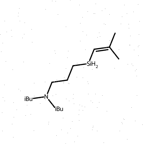 CCC(C)N(CCC[SiH2]C=C(C)C)C(C)CC